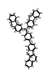 c1ccc2c(c1)ccc1c3ccc(-c4ccc(N(c5ccc6c(c5)sc5ccccc56)c5ccc6sc7ccccc7c6c5)cc4)cc3sc21